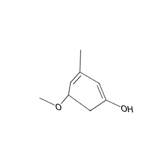 COC1C=C(C)C=C(O)C1